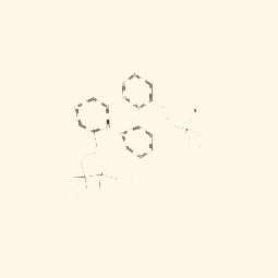 CC1(C)OB(c2cccc(-c3cccc(B4OC(C)(C)C(C)(C)O4)c3-c3ccccc3)c2)OC1(C)C